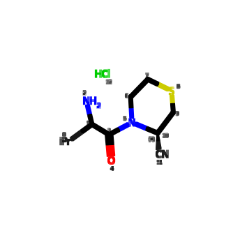 CC(C)C(N)C(=O)N1CCSC[C@H]1C#N.Cl